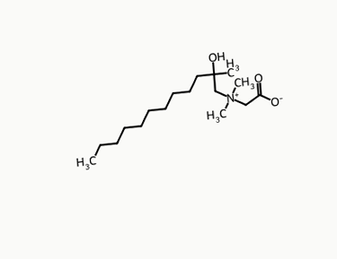 CCCCCCCCCCC(C)(O)C[N+](C)(C)CC(=O)[O-]